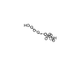 O=C1CCC(N2C(=O)c3ccc(C#CCOCCOCCOCCO)cc3C2=O)C(=O)N1